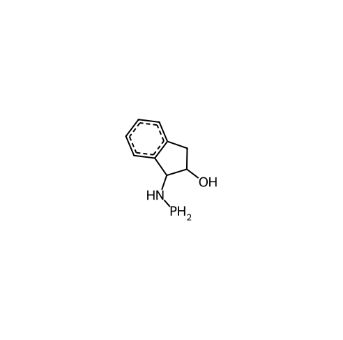 OC1Cc2ccccc2C1NP